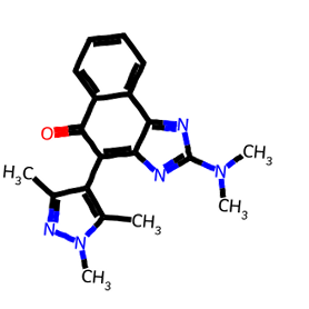 Cc1nn(C)c(C)c1C1=C2N=C(N(C)C)N=C2c2ccccc2C1=O